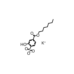 CCCCCCCOC(=O)c1ccc(S(=O)(=O)[O-])c(O)c1.[K+]